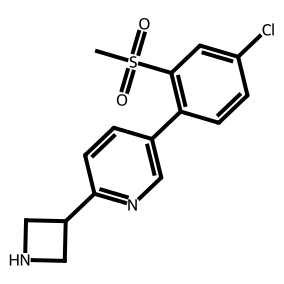 CS(=O)(=O)c1cc(Cl)ccc1-c1ccc(C2CNC2)nc1